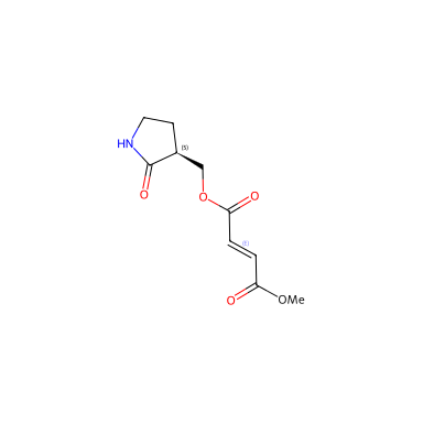 COC(=O)/C=C/C(=O)OC[C@@H]1CCNC1=O